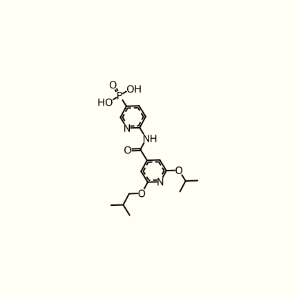 CC(C)COc1cc(C(=O)Nc2ccc(P(=O)(O)O)cn2)cc(OC(C)C)n1